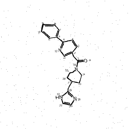 O=C(c1ccc(-c2ccccc2)nc1)N1CCC(c2ncc[nH]2)CC1